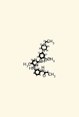 C=CC(=O)Nc1cccc(Nc2nc(Nc3ccc(N4CCN(CC)CC4)cc3OC)ncc2C)c1